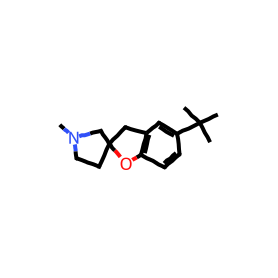 CN1CCC2(Cc3cc(C(C)(C)C)ccc3O2)C1